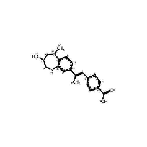 C/C(=C\c1ccc(C(=O)O)cc1)c1ccc2c(c1)SCC(C)CN2C